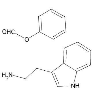 NCCc1c[nH]c2ccccc12.O=COc1ccccc1